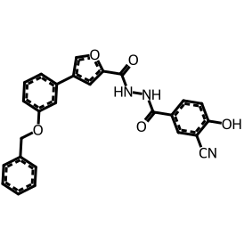 N#Cc1cc(C(=O)NNC(=O)c2cc(-c3cccc(OCc4ccccc4)c3)co2)ccc1O